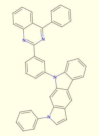 c1ccc(-c2nc(-c3cccc(-n4c5ccccc5c5cc6ccn(-c7ccccc7)c6cc54)c3)nc3ccccc23)cc1